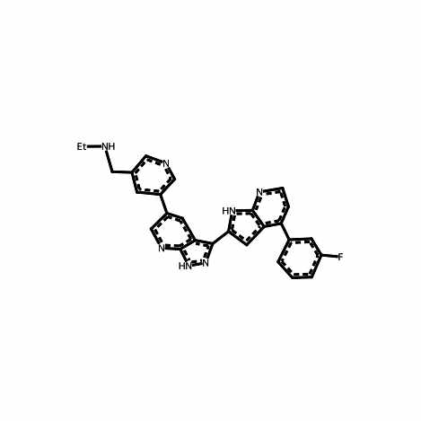 CCNCc1cncc(-c2cnc3[nH]nc(-c4cc5c(-c6cccc(F)c6)ccnc5[nH]4)c3c2)c1